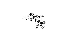 O=P([O-])(O)O.O=P([O-])([O-])[O-].S.[C+4]